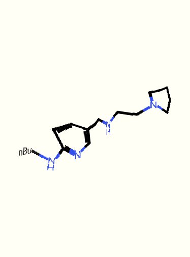 CCCCNc1ccc(CNCCN2CCCC2)cn1